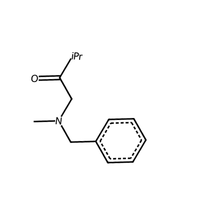 CC(C)C(=O)CN(C)Cc1ccccc1